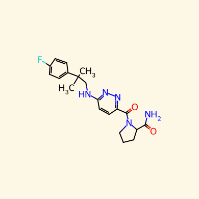 CC(C)(CNc1ccc(C(=O)N2CCCC2C(N)=O)nn1)c1ccc(F)cc1